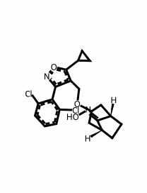 O/N=C1\[C@@H]2CC[C@H]1CC(OCc1c(-c3c(Cl)cccc3Cl)noc1C1CC1)C2